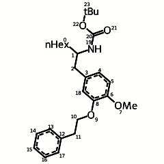 CCCCCCC(Cc1ccc(OC)c(OCCc2ccccc2)c1)NC(=O)OC(C)(C)C